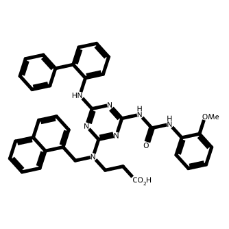 COc1ccccc1NC(=O)Nc1nc(Nc2ccccc2-c2ccccc2)nc(N(CCC(=O)O)Cc2cccc3ccccc23)n1